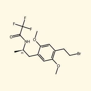 COc1cc(C[C@@H](C)NC(=O)C(F)(F)F)c(OC)cc1CCBr